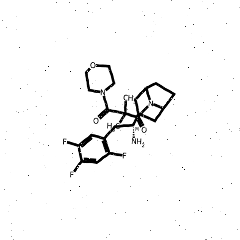 CC(C)(C(=O)N1CCOCC1)C(=O)N1C2CCC1CC([C@H](N)Cc1cc(F)c(F)cc1F)C2